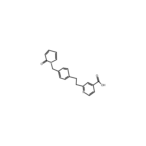 O=C(O)c1ccnc(CCc2ccc(Cn3ccccc3=O)cc2)c1